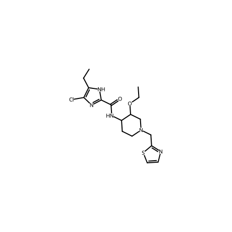 CCOC1CN(Cc2nccs2)CCC1NC(=O)c1nc(Cl)c(CC)[nH]1